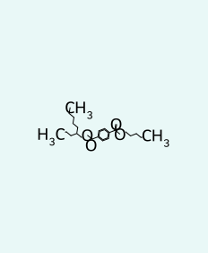 CCCCCOC(=O)c1ccc(C(=O)OCC(CCC)CCCCC)cc1